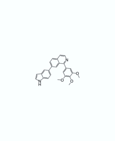 COc1cc(-c2nccc3ccc(-c4ccc5[nH]ccc5c4)cc23)cc(OC)c1OC